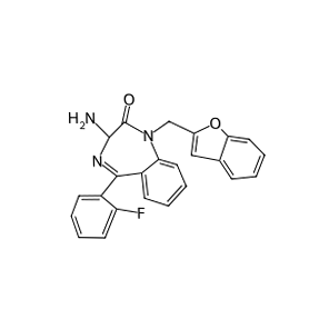 NC1N=C(c2ccccc2F)c2ccccc2N(Cc2cc3ccccc3o2)C1=O